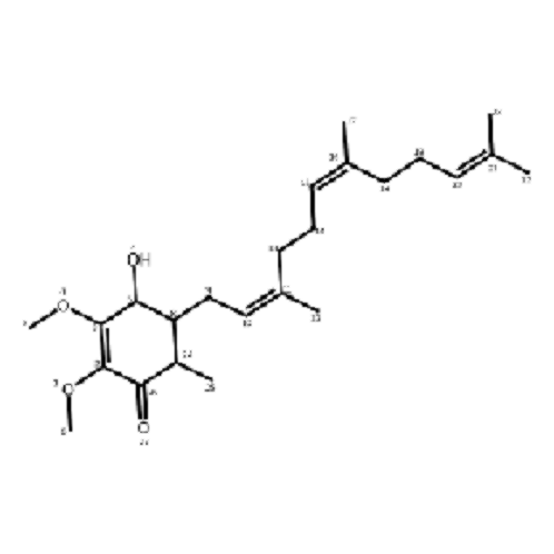 COC1=C(OC)C(O)C(CC=C(C)CCC=C(C)CCC=C(C)C)C(C)C1=O